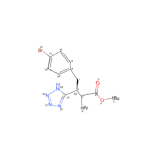 CCCC(C(=O)OC(C)(C)C)[C@H](Cc1ccc(Br)cc1)c1nnn[nH]1